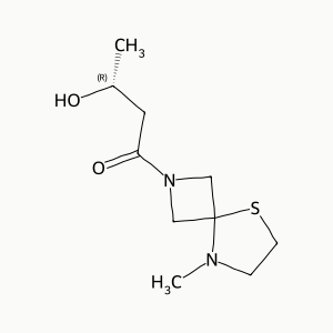 C[C@@H](O)CC(=O)N1CC2(C1)SCCN2C